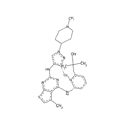 Cc1nn(C2CCN(C)CC2)cc1Nc1nc(Nc2cccc(C(C)(C)O)n2)c2c(C)csc2n1